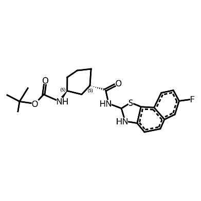 CC(C)(C)OC(=O)N[C@H]1CCC[C@H](C(=O)NC2Nc3ccc4cc(F)ccc4c3S2)C1